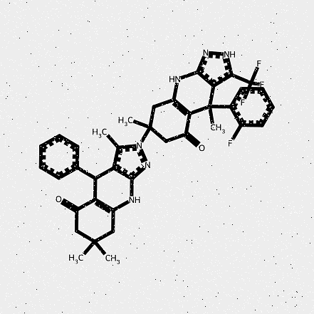 Cc1c2c(nn1C1(C)CC(=O)C3=C(C1)Nc1n[nH]c(C(F)(F)F)c1C3(C)c1ccccc1F)NC1=C(C(=O)CC(C)(C)C1)C2c1ccccc1